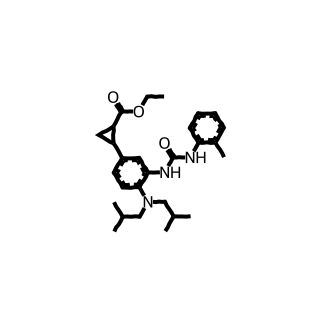 CCOC(=O)C1CC1c1ccc(N(CC(C)C)CC(C)C)c(NC(=O)Nc2ccccc2C)c1